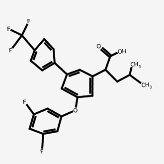 CC(C)CC(C(=O)O)c1cc(Oc2cc(F)cc(F)c2)cc(-c2ccc(C(F)(F)F)cc2)c1